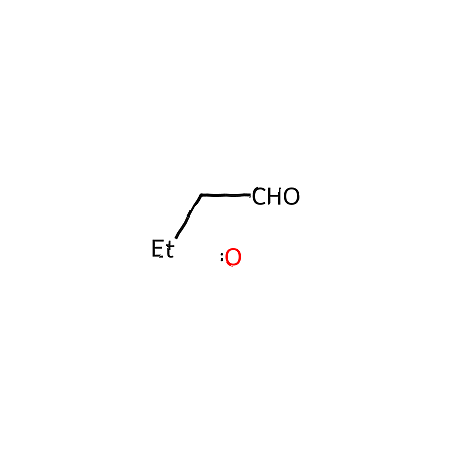 CCCC=O.[O]